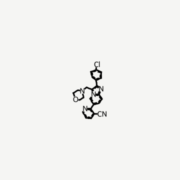 N#Cc1cccnc1-c1ccc2nc(-c3ccc(Cl)cc3)c(CN3CCOCC3)n2c1